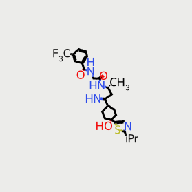 CC(C)c1ncc(C2(O)CCC(C(=N)C[C@@H](C)NC(=O)CNC(=O)c3cccc(C(F)(F)F)c3)CC2)s1